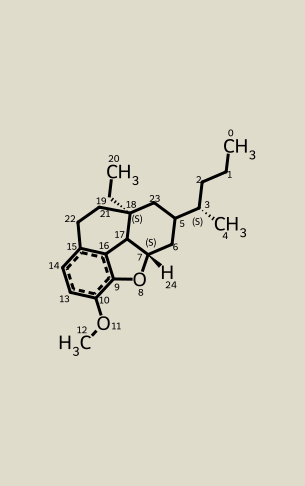 CCC[C@H](C)C1C[C@@H]2Oc3c(OC)ccc4c3C2[C@@](CC)(CC4)C1